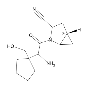 N#CC1C[C@@H]2CC2N1C(=O)C(N)C1(CO)CCCC1